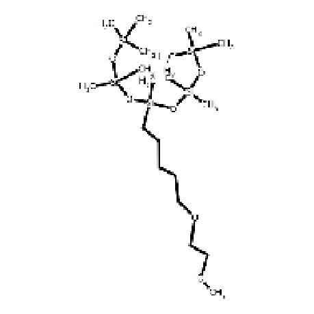 COCCOCCCCC[Si](C)(O[Si](C)(C)O[Si](C)(C)C)O[Si](C)(C)O[Si](C)(C)C